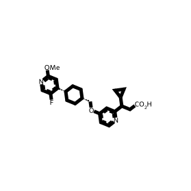 COc1cc([C@H]2CC[C@@H](COc3ccnc(C(CC(=O)O)C4CC4)c3)CC2)c(F)cn1